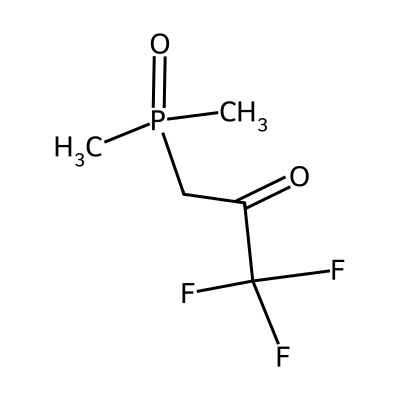 CP(C)(=O)CC(=O)C(F)(F)F